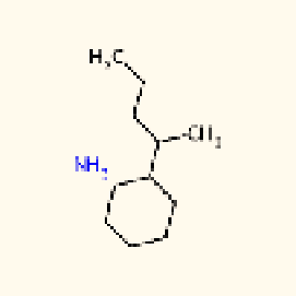 CCCC(C)C1CCCCC1.N